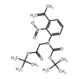 C=C(C)c1cccc(N(CC(=O)OC(C)(C)C)C(=O)OC(C)(C)C)c1[N+](=O)[O-]